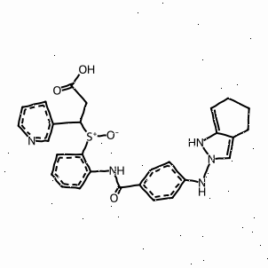 O=C(O)CC(c1cccnc1)[S+]([O-])c1ccccc1NC(=O)c1ccc(NN2C=C3CCCC=C3N2)cc1